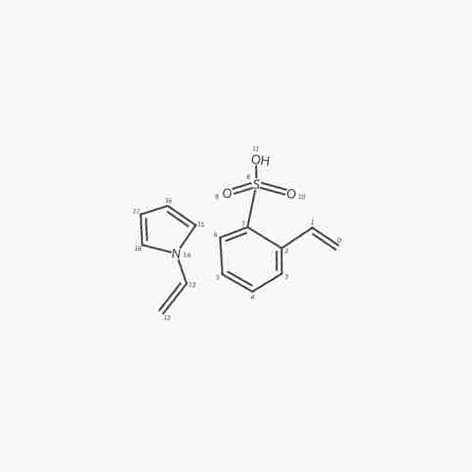 C=Cc1ccccc1S(=O)(=O)O.C=Cn1cccc1